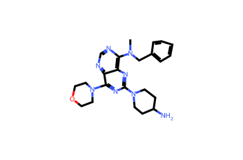 CN(Cc1ccccc1)c1ncnc2c(N3CCOCC3)nc(N3CCC(N)CC3)nc12